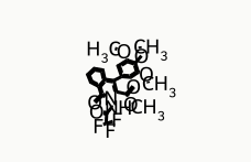 COC(=O)c1c(-c2cc(OC)c(OC)c(OC)c2)c2ccccc2c(=O)n1NC(=O)C(F)(F)F